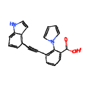 O=C(O)c1cccc(C#Cc2cccc3[nH]ccc23)c1-n1cccc1